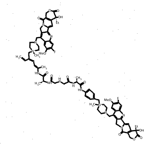 C=C/C(=C\C=C(/C)NC(=O)[C@H](C)NC(=O)CNCC(=O)N[C@@H](C)C(=O)Nc1ccc(C[N+]2(C)CCN(Cc3c4c(nc5cc(F)c(OC)cc35)-c3cc5c(c(=O)n3C4)COC(=O)[C@]5(O)CC)CC2)cc1)C[N+]1(C)CCN(Cc2c3c(nc4cc(F)c(OC)cc24)-c2cc4c(c(=O)n2C3)COC(=O)[C@]4(O)CC)CC1